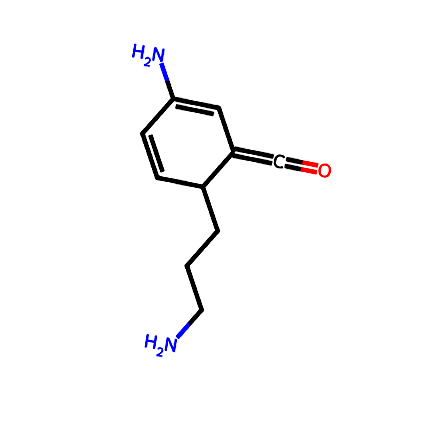 NCCCC1C=CC(N)=CC1=C=O